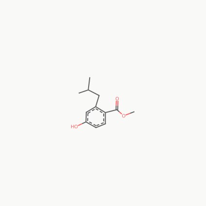 COC(=O)c1ccc(O)cc1CC(C)C